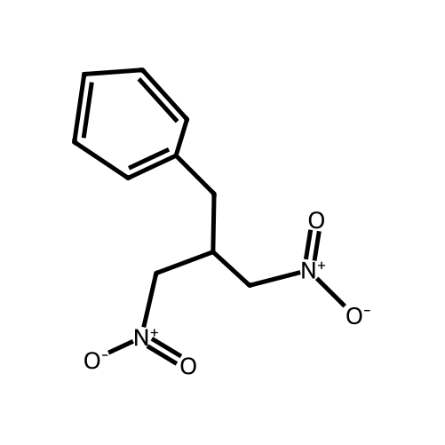 O=[N+]([O-])CC(Cc1ccccc1)C[N+](=O)[O-]